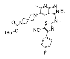 CCn1nc2nc(C)c(N3CC4(CN(C(=O)OC(C)(C)C)C4)C3)cc2c1N(C)c1nc(-c2ccc(F)cc2)c(C#N)s1